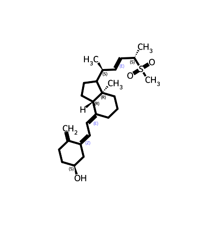 C=C1CC[C@H](O)C/C1=C/C=C1\CCC[C@]2(C)C([C@@H](C)/C=C/[C@H](C)S(C)(=O)=O)CC[C@@H]12